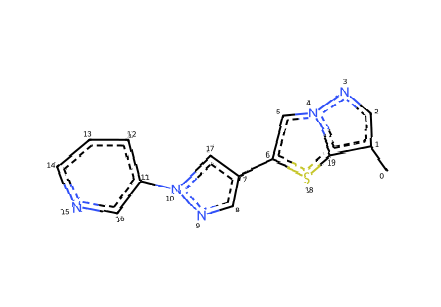 Cc1cnn2cc(-c3cnn(-c4cccnc4)c3)sc12